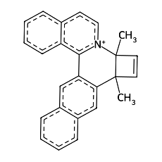 CC12C=CC1(C)[n+]1ccc3ccccc3c1-c1cc3ccccc3cc12